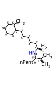 C=C(CCCCCC1CCCCC1C)NC(CCCCC)C(=C)C